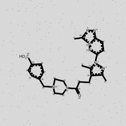 Cc1nn(-c2ccc3nnc(C)n3n2)c(C)c1CCC(=O)N1CCN(Cc2ccc(C(=O)O)cc2)CC1